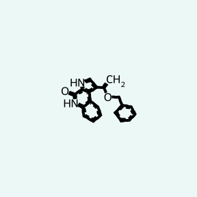 C=C(OCc1ccccc1)c1c[nH]c2c(=O)[nH]c3ccccc3c12